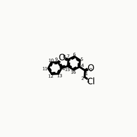 O=C(CCl)c1ccc2oc3ccccc3c2c1